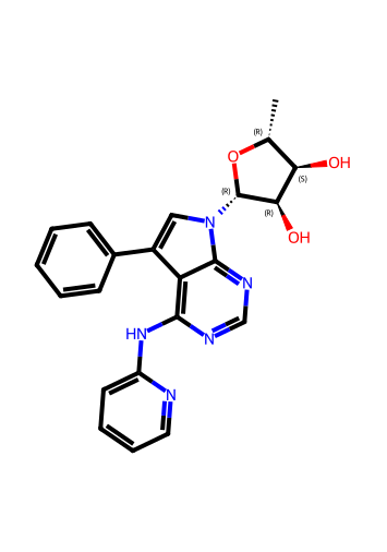 C[C@H]1O[C@@H](n2cc(-c3ccccc3)c3c(Nc4ccccn4)ncnc32)[C@H](O)[C@@H]1O